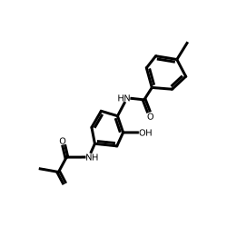 C=C(C)C(=O)Nc1ccc(NC(=O)c2ccc(C)cc2)c(O)c1